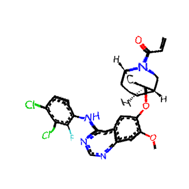 C=CC(=O)N1C[C@@H]2CC[C@H]1C[C@@H]2Oc1cc2c(Nc3ccc(Cl)c(Cl)c3F)ncnc2cc1OC